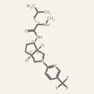 CN[C@@H](CC(C)C)C(=O)N[C@@H]1CC[C@H]2CN(c3ccc(C(F)(F)F)cn3)C[C@H]21